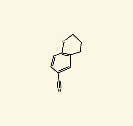 N#Cc1ccc2c(c1)[CH]CCO2